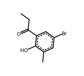 CCC(=O)c1cc(Br)cc(C)c1O